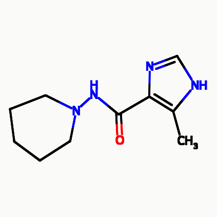 Cc1[nH]cnc1C(=O)NN1CCCCC1